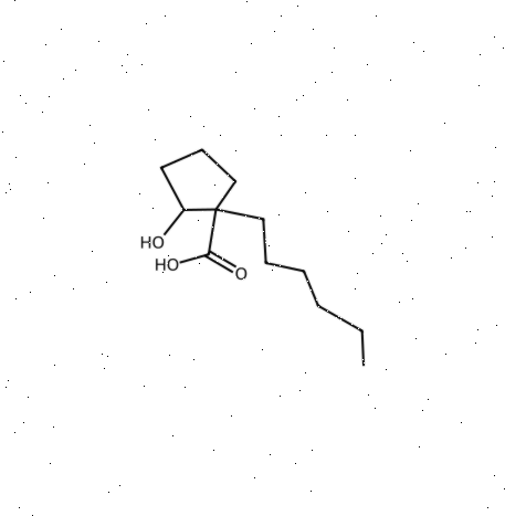 CCCCCCC1(C(=O)O)CCCC1O